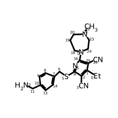 CCc1c(C#N)c(SCc2ccc(CN)cc2)nc(N2CCCN(C)CC2)c1C#N